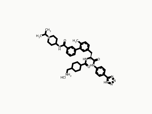 Cc1ccc(C[C@H](NC(=O)C2CCC(CN)CC2)C(=O)Nc2ccc(-c3nnn[nH]3)cc2)cc1-c1cccc(C(=O)NC2CCN(C(C)C)CC2)c1.Cl